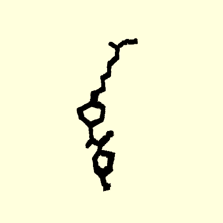 CCCCCN(C)CCCCCOC1CCC(N(C)C(=O)c2ccc(Br)cc2)CC1